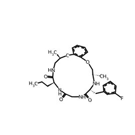 CCC[C@@H]1NC(=O)CNC(=O)[C@@H](Cc2cccc(F)c2)N[C@@H](C)COc2ccccc2C[C@H](C)CNC1=O